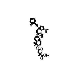 C=C(C)[C@@H]1CC[C@]2(C#Cc3ccccc3F)CC[C@]3(C)C(CCC4[C@@]5(C)CC[C@H](OC(=O)CC(C)(C)C(=O)O)C(C)(C)C5CC[C@]43C)C12